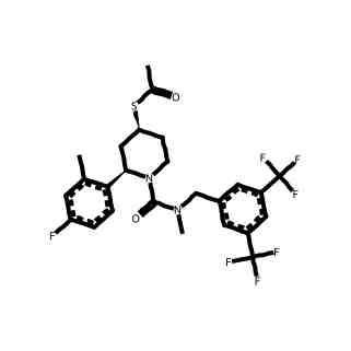 CC(=O)S[C@H]1CCN(C(=O)N(C)Cc2cc(C(F)(F)F)cc(C(F)(F)F)c2)[C@@H](c2ccc(F)cc2C)C1